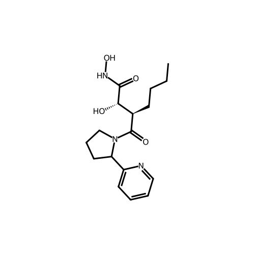 CCCC[C@@H](C(=O)N1CCCC1c1ccccn1)[C@H](O)C(=O)NO